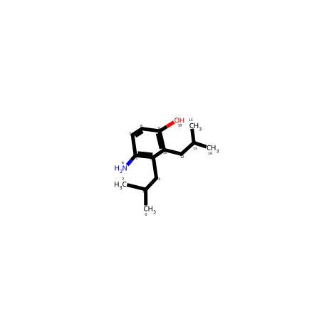 CC(C)Cc1c(N)ccc(O)c1CC(C)C